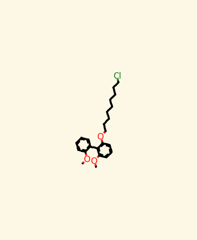 COc1ccccc1-c1c(OC)cccc1OCCCCCCCCCCl